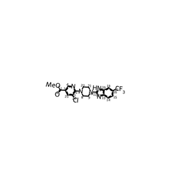 COC(=O)c1cnc(N2CCN(c3nc4ccc(C(F)(F)F)cc4[nH]3)CC2)c(Cl)c1